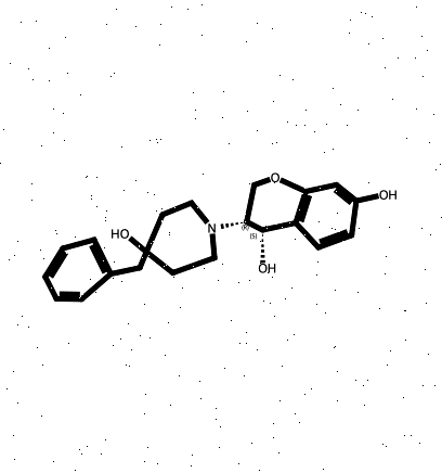 Oc1ccc2c(c1)OC[C@@H](N1CCC(O)(Cc3ccccc3)CC1)[C@H]2O